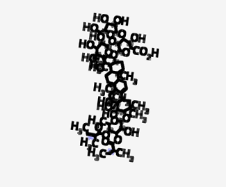 C/C=C(/C)C(=O)OC1[C@@H](OC(=O)/C(C)=C\C)C(C)O[C@@H](O[C@H]2[C@H](O)[C@@]3(CO)C(CC2(C)C)C2=CCC4[C@@]5(C)CC[C@H](O[C@@H]6OC(C(=O)O)[C@@H](O)C(O[C@@H]7O[C@@H](CO)C(O)[C@@H]7O)[C@@H]6O[C@@H]6OC(CO)[C@H](O)C(O)[C@@H]6O)C(C)(C)C5CC[C@@]4(C)[C@]2(C)C[C@H]3O)[C@H]1O